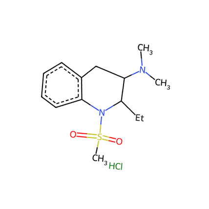 CCC1C(N(C)C)Cc2ccccc2N1S(C)(=O)=O.Cl